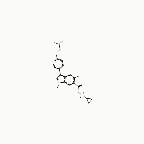 CC(C)COc1ccc(-c2cn(C)c3cc(C(=O)NS(=O)(=O)C4CC4)c(F)cc23)cn1